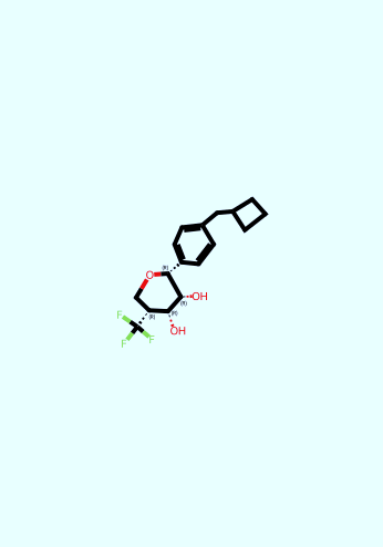 O[C@@H]1[C@H](O)[C@H](C(F)(F)F)CO[C@@H]1c1ccc(CC2CCC2)cc1